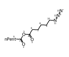 CCCCCC(=O)OC(=O)CCCCCN=[N+]=[N-]